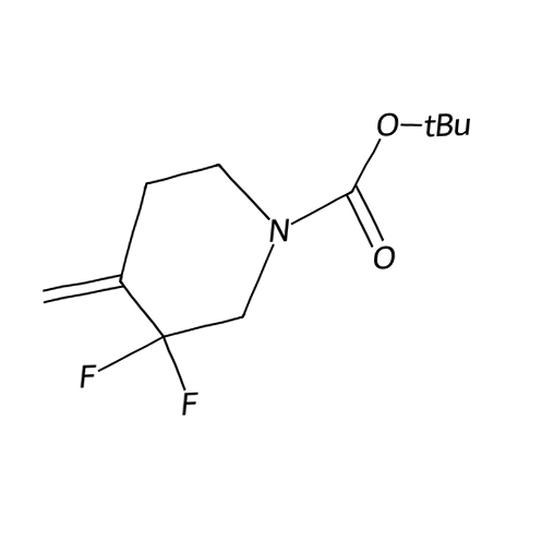 C=C1CCN(C(=O)OC(C)(C)C)CC1(F)F